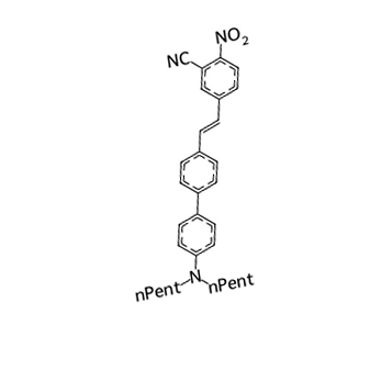 CCCCCN(CCCCC)c1ccc(-c2ccc(C=Cc3ccc([N+](=O)[O-])c(C#N)c3)cc2)cc1